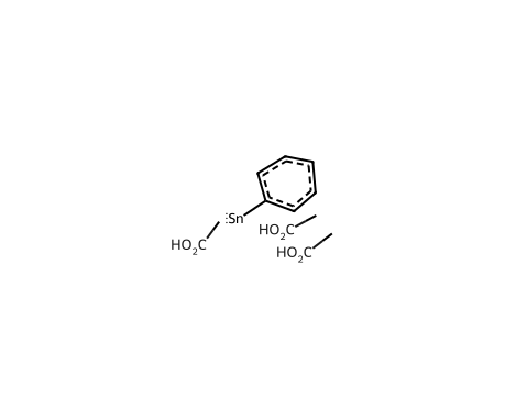 CC(=O)O.CC(=O)O.CC(=O)O.[Sn][c]1ccccc1